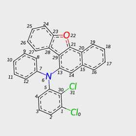 Clc1cccc(N(c2ccccc2)c2cc3ccccc3c3oc4ccccc4c23)c1Cl